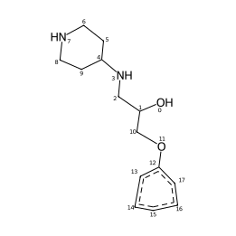 OC(CNC1CCNCC1)COc1ccccc1